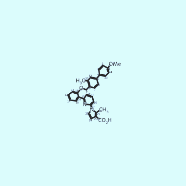 COc1ccc(-c2ccc(COc3ccccc3-c3cccc(-n4ccc(C(=O)O)c4C)n3)c(C)c2)cc1